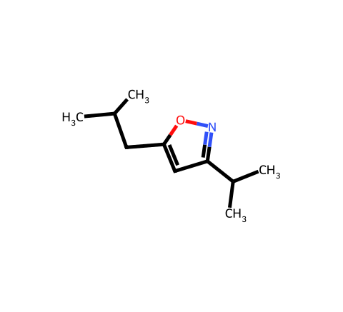 CC(C)Cc1cc(C(C)C)no1